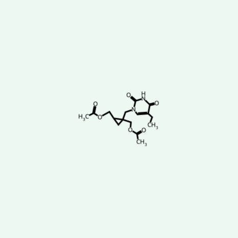 CCc1cn(CC2(COC(C)=O)CC2COC(C)=O)c(=O)[nH]c1=O